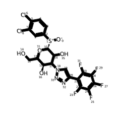 [O-][S+](c1ccc(Cl)c(Cl)c1)[C@H]1OC(CO)[C@H](O)C(n2cc(-c3c(F)c(F)c(F)c(F)c3F)nn2)C1O